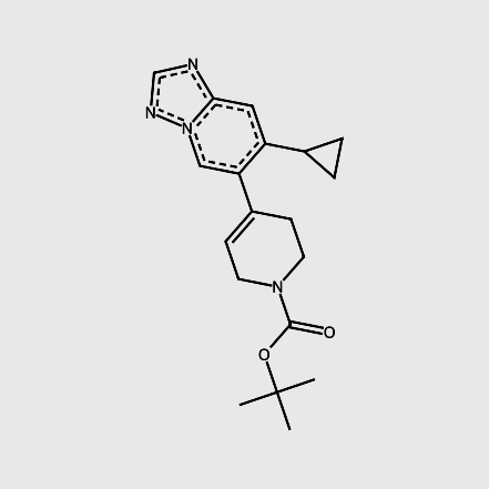 CC(C)(C)OC(=O)N1CC=C(c2cn3ncnc3cc2C2CC2)CC1